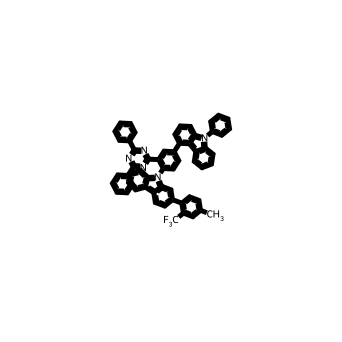 Cc1ccc(-c2ccc3c4ccccc4n(-c4ccc(-c5cccc6c5c5ccccc5n6-c5ccccc5)cc4-c4nc(-c5ccccc5)nc(-c5ccccc5)n4)c3c2)c(C(F)(F)F)c1